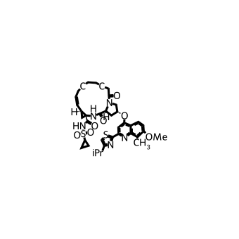 COc1ccc2c(O[C@@H]3C[C@H]4C(=O)N[C@]5(C(=O)NS(=O)(=O)C6CC6)C[C@H]5/C=C\CCCCCCC(=O)N4C3)cc(-c3nc(C(C)C)cs3)nc2c1C